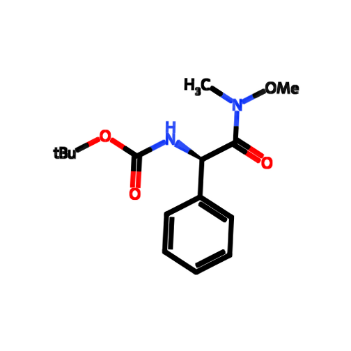 CON(C)C(=O)[C@H](NC(=O)OC(C)(C)C)c1ccccc1